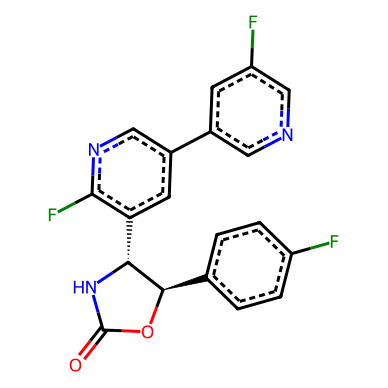 O=C1N[C@H](c2cc(-c3cncc(F)c3)cnc2F)[C@@H](c2ccc(F)cc2)O1